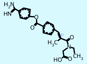 CCN(CC(=O)O)C(=O)/C(C)=C/c1ccc(C(=O)Oc2ccc(C(=N)N)cc2)cc1